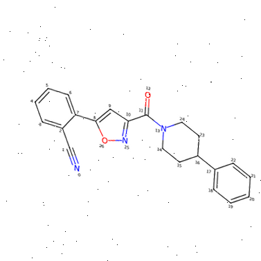 N#Cc1ccccc1-c1cc(C(=O)N2CCC(c3ccccc3)CC2)no1